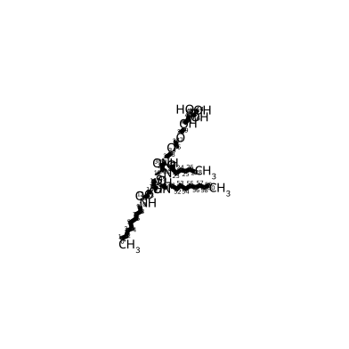 CCCCCCCCCCNC(=O)OC[C@H](CSC[C@H](NC(=O)CCCCCC)C(=O)NCCOCCOCCOCC[PH](O)(O)O)OC(=O)NCCCCCCCCCC